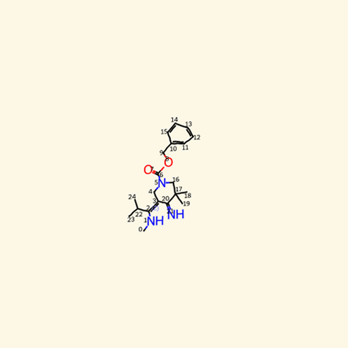 CN/C(=C1/CN(C(=O)OCc2ccccc2)CC(C)(C)C1=N)C(C)C